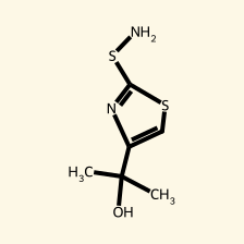 CC(C)(O)c1csc(SN)n1